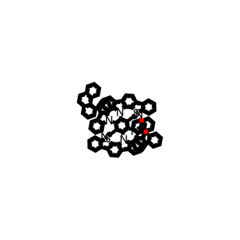 N#Cc1c(-n2c3ccccc3c3ccccc32)c(-n2c3cc(-c4cccc5ccc6ccccc6c45)ccc3c3ccc4c5ccccc5sc4c32)c(C#N)c(-n2c3ccccc3c3ccccc32)c1-n1c2cc(-c3ccccc3-c3ccccc3)ccc2c2ccc3c4ccccc4sc3c21